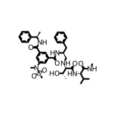 CNC(=O)[C@@H](NC(=O)[C@@H](NC[C@H](Cc1ccccc1)NC(=O)c1cc(C(=O)N[C@H](C)c2ccccc2)cc(N(C)S(C)(=O)=O)c1)[C@H](C)O)C(C)C